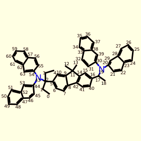 CCC(CC)(c1ccc2c(c1)C(C)(C)c1cc(C(C)N(c3ccc4ccccc4c3)c3ccc4ccccc4c3)ccc1-2)N(c1ccc2ccccc2c1)c1ccc2ccccc2c1